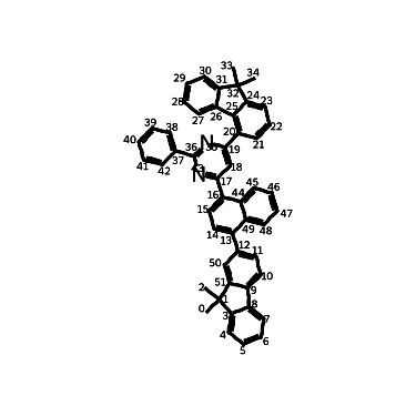 CC1(C)c2ccccc2-c2ccc(-c3ccc(-c4cc(-c5cccc6c5-c5ccccc5C6(C)C)nc(-c5ccccc5)n4)c4ccccc34)cc21